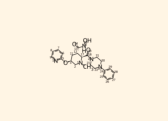 CN1C[C@@H](Oc2ccccn2)C[C@H](C(=O)NO)[C@H]1C(=O)N1CCN(c2ccccc2)CC1